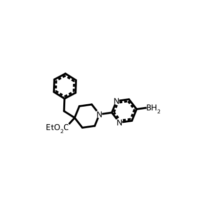 Bc1cnc(N2CCC(Cc3ccccc3)(C(=O)OCC)CC2)nc1